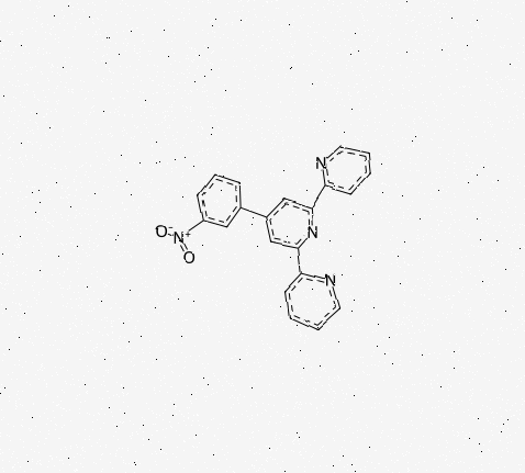 O=[N+]([O-])c1cccc(-c2cc(-c3ccccn3)nc(-c3ccccn3)c2)c1